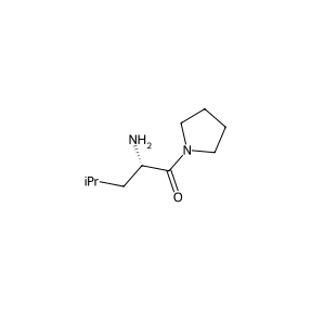 CC(C)C[C@H](N)C(=O)N1CCCC1